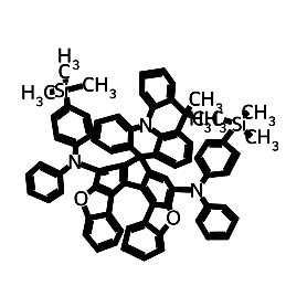 CC1(C)c2ccccc2N2c3ccccc3C3(c4cccc1c42)c1cc(N(c2ccccc2)c2ccc([Si](C)(C)C)cc2)c2oc4ccccc4c2c1-c1c3cc(N(c2ccccc2)c2ccc([Si](C)(C)C)cc2)c2oc3ccccc3c12